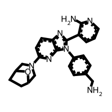 NCc1ccc(-n2c(-c3cccnc3N)nc3ccc(N4CC5CCC(C4)O5)nc32)cc1